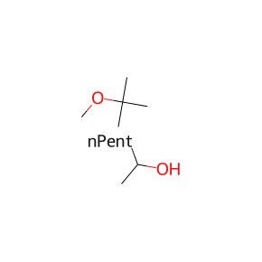 CCCCCC(C)O.COC(C)(C)C